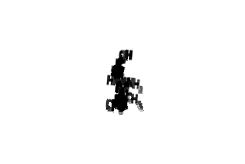 Cc1ccc(Cl)cc1-c1nc(N)nc(Nc2ccc(CCO)cc2)n1